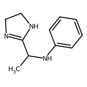 CC(Nc1ccccc1)C1=NCCN1